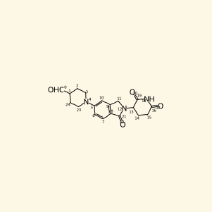 O=CC1CCN(c2ccc3c(c2)CN(C2CCC(=O)NC2=O)C3=O)CC1